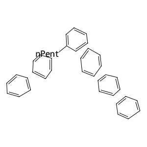 CCCCCc1ccccc1.c1ccccc1.c1ccccc1.c1ccccc1.c1ccccc1.c1ccccc1